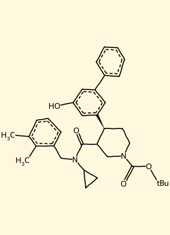 Cc1cccc(CN(C(=O)C2CN(C(=O)OC(C)(C)C)CC[C@@H]2c2cc(O)cc(-c3ccccc3)c2)C2CC2)c1C